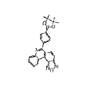 CC1(C)OB(c2ccc(-c3nc4ccccc4c4c3ccc3nonc34)cc2)OC1(C)C